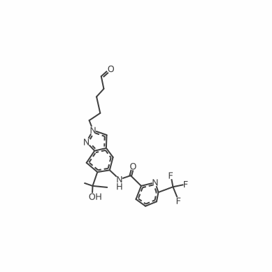 CC(C)(O)c1cc2nn(CCCCC=O)cc2cc1NC(=O)c1cccc(C(F)(F)F)n1